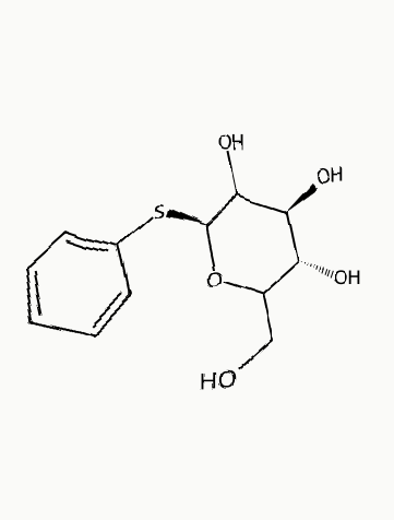 OCC1O[C@@H](Sc2ccccc2)C(O)[C@@H](O)[C@@H]1O